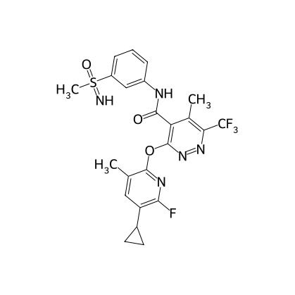 Cc1cc(C2CC2)c(F)nc1Oc1nnc(C(F)(F)F)c(C)c1C(=O)Nc1cccc(S(C)(=N)=O)c1